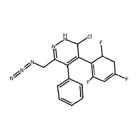 [N-]=[N+]=NCC1=NNC(Cl)C(C2=C(F)C=C(F)CC2F)=C1c1ccccc1